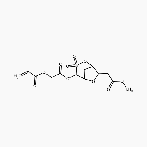 C=CC(=O)OCC(=O)OC1C2CC(OS1(=O)=O)C(CC(=O)OC)O2